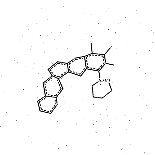 Cc1c(C)c([SiH]2CCCCO2)c2cc3c(ccc4cc5ccccc5cc43)cc2c1C